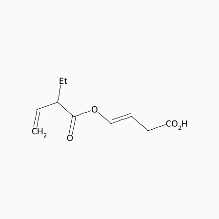 C=CC(CC)C(=O)OC=CCC(=O)O